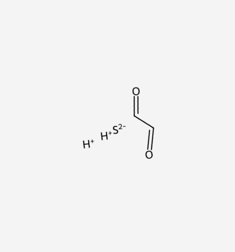 O=CC=O.[H+].[H+].[S-2]